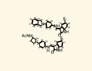 CC(=O)NC1CCN(c2ccc(N/C=C3\C(=O)Nc4ccc(F)cc43)cc2)C1.O=C1Nc2ccc(F)cc2/C1=C\Nc1ccc(N2Cc3ccccc3C2)cc1